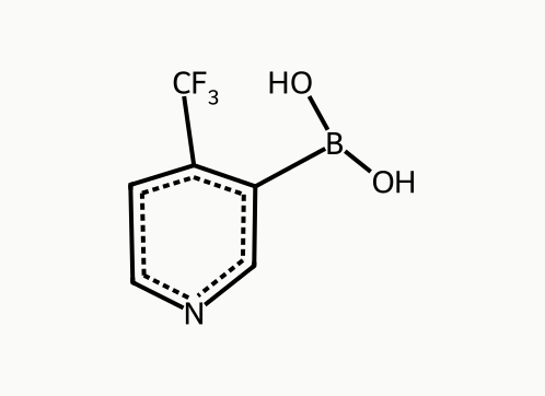 OB(O)c1cnccc1C(F)(F)F